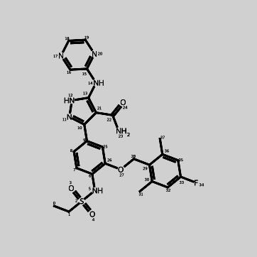 CCS(=O)(=O)Nc1ccc(-c2n[nH]c(Nc3cnccn3)c2C(N)=O)cc1OCc1c(C)cc(F)cc1C